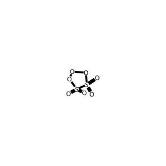 O=S1(=O)OOOS1(=O)=O